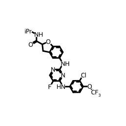 CC(C)NC(=O)C1Cc2cc(Nc3ncc(F)c(Nc4ccc(OC(F)(F)F)c(Cl)c4)n3)ccc2O1